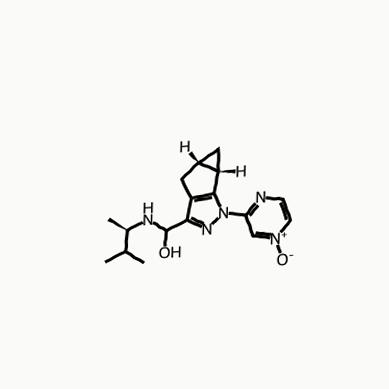 CC(C)[C@@H](C)NC(O)c1nn(-c2c[n+]([O-])ccn2)c2c1C[C@@H]1C[C@H]21